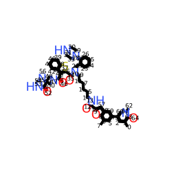 Cc1cc(-c2cc(C)c3oc(C(=O)NCCCCCCN(Cc4ccccc4N4CCNCC4)C(=O)c4sc5ccccc5c4C(=O)N4CC5(C4)C(=O)NCN5C)cc3c2)cn(C)c1=O